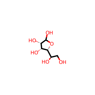 OC[C@@H](O)[C@H]1OC(O)[C@@H](O)[C@H]1O